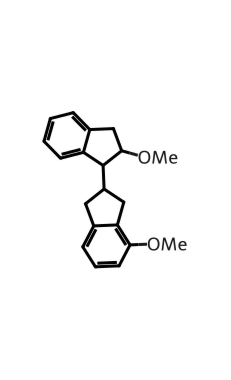 COc1cccc2c1CC(C1c3ccccc3CC1OC)C2